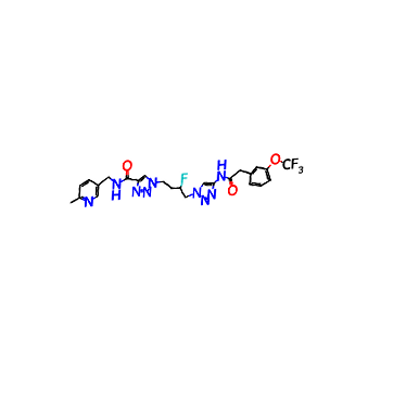 Cc1ccc(CNC(=O)c2cn(CCC(F)Cn3cc(NC(=O)Cc4cccc(OC(F)(F)F)c4)nn3)nn2)cn1